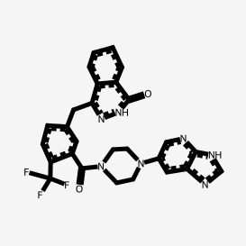 O=C(c1cc(Cc2n[nH]c(=O)c3ccccc23)ccc1C(F)(F)F)N1CCN(c2cnc3[nH]cnc3c2)CC1